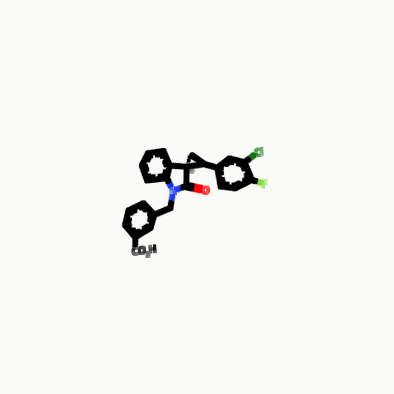 O=C(O)c1cccc(CN2C(=O)[C@@]3(CC3c3ccc(F)c(Cl)c3)c3ccccc32)c1